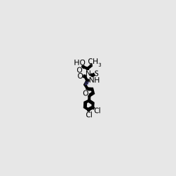 CCC(C(=O)O)N1C(=O)/C(=C/c2ccc(-c3ccc(Cl)c(Cl)c3)o2)NC1=S